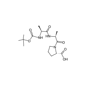 C[C@H](NC(=O)OC(C)(C)C)C(=O)N[C@@H](C)C(=O)N1CCC[C@H]1C(=O)O